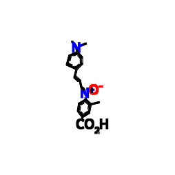 Cc1cc(C(=O)O)ccc1[N+]([O-])=CC=Cc1ccc(N(C)C)cc1